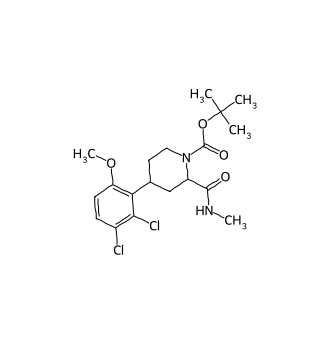 CNC(=O)C1CC(c2c(OC)ccc(Cl)c2Cl)CCN1C(=O)OC(C)(C)C